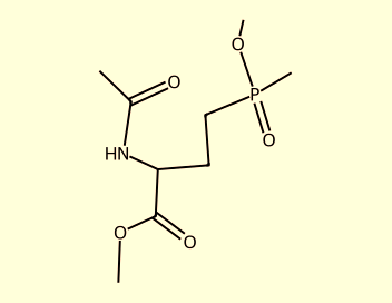 COC(=O)C(CCP(C)(=O)OC)NC(C)=O